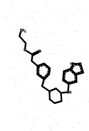 CCCOC(=O)Cc1cccc(CN2CCCC(Nc3ccc4[nH]ncc4c3)C2)c1